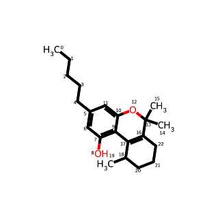 CCCCCc1cc(O)c2c(c1)OC(C)(C)C1=C2C(C)CCC1